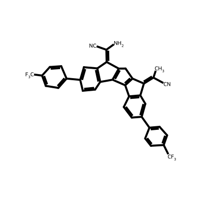 C/C(C#N)=C1\C2=C(C3=C(C2)/C(=C(\N)C#N)c2cc(-c4ccc(C(F)(F)F)cc4)ccc23)c2ccc(-c3ccc(C(F)(F)F)cc3)cc21